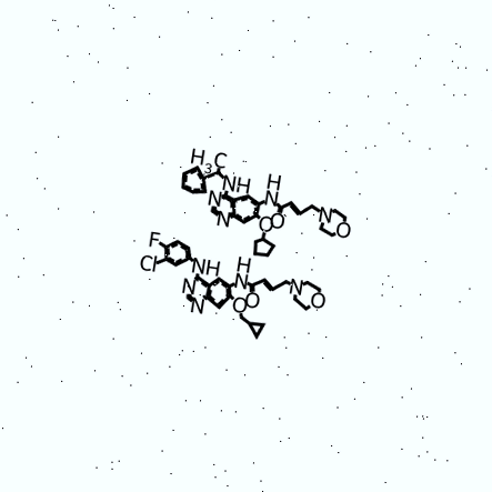 CC(Nc1ncnc2cc(OC3CCCC3)c(NC(=O)C=CCN3CCOCC3)cc12)c1ccccc1.O=C(C=CCN1CCOCC1)Nc1cc2c(Nc3ccc(F)c(Cl)c3)ncnc2cc1OCC1CC1